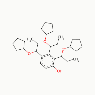 CCC(OC1CCCC1)c1ccc(O)c(C(CC)OC2CCCC2)c1C(CC)OC1CCCC1